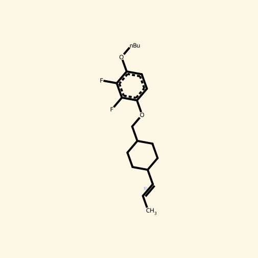 C/C=C/C1CCC(COc2ccc(OCCCC)c(F)c2F)CC1